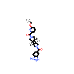 O=C(c1ccc2[nH]nnc2c1)N1C[C@@H]2[C@H](C1)[C@H]1CN(C(=O)c3cccc(OCC(F)(F)F)n3)C[C@@H]21